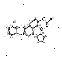 FC(F)Oc1ccc2c(Cc3c(Cl)cncc3Cl)nncc2c1OC1CCCC1